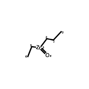 CC[CH2][Zr](=[O])[CH2]C